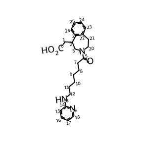 O=C(O)CC1CN(C(=O)CCCCCCNc2ccccn2)CCc2ccccc21